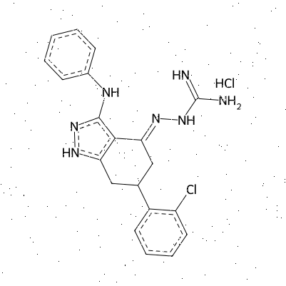 Cl.N=C(N)NN=C1CC(c2ccccc2Cl)Cc2[nH]nc(Nc3ccccc3)c21